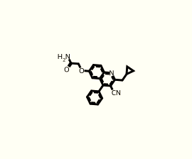 N#Cc1c(CC2CC2)nc2ccc(OCC(N)=O)cc2c1-c1ccccc1